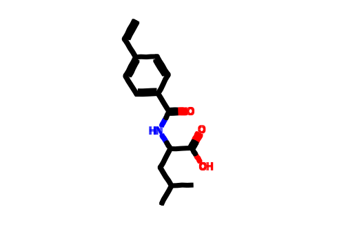 C=Cc1ccc(C(=O)NC(CC(C)C)C(=O)O)cc1